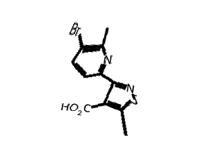 Cc1nc(-c2nsc(C)c2C(=O)O)ccc1Br